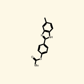 Cc1ccc2[nH]c(-c3ccc(OC(=O)C(C)(C)C)cc3)nc2c1